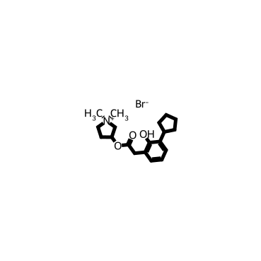 C[N+]1(C)CCC(OC(=O)Cc2cccc(C3CCCC3)c2O)C1.[Br-]